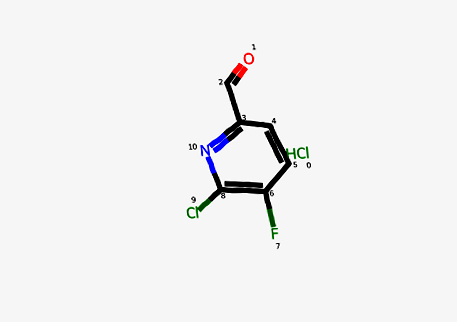 Cl.O=Cc1ccc(F)c(Cl)n1